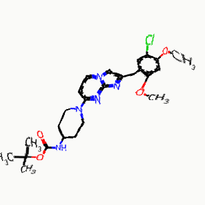 COc1cc(OC)c(-c2cn3ccc(N4CCC(NC(=O)OC(C)(C)C)CC4)nc3n2)cc1Cl